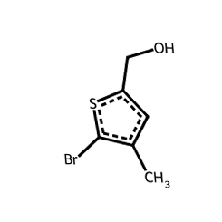 Cc1cc(CO)sc1Br